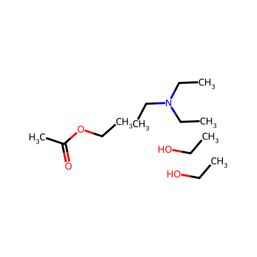 CCN(CC)CC.CCO.CCO.CCOC(C)=O